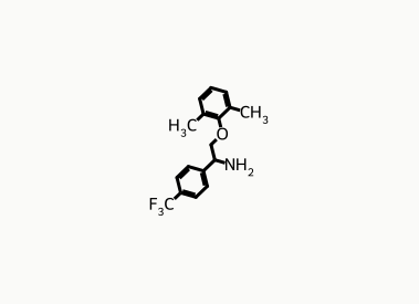 Cc1cccc(C)c1OCC(N)c1ccc(C(F)(F)F)cc1